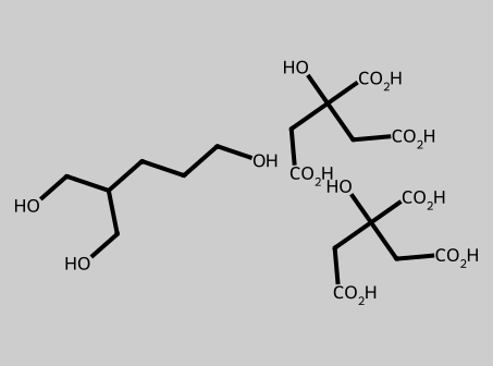 O=C(O)CC(O)(CC(=O)O)C(=O)O.O=C(O)CC(O)(CC(=O)O)C(=O)O.OCCCC(CO)CO